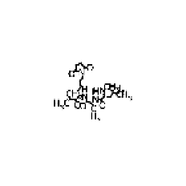 CN[C@@H](CC(C)C)C(=O)NC(C)C(=O)N[C@@H](CCCCN1C(=O)CCC1=O)C(=O)C(C)C